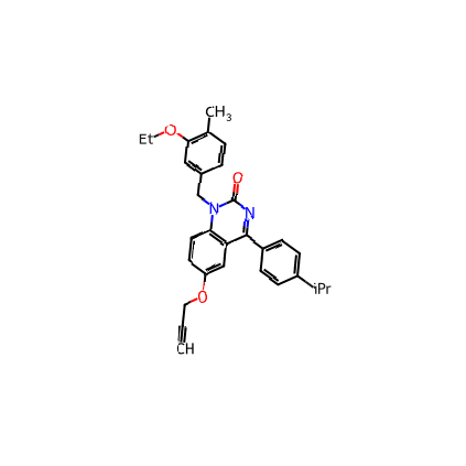 C#CCOc1ccc2c(c1)c(-c1ccc(C(C)C)cc1)nc(=O)n2Cc1ccc(C)c(OCC)c1